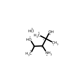 CC(O)C(N)C(C)(C)O.Cl